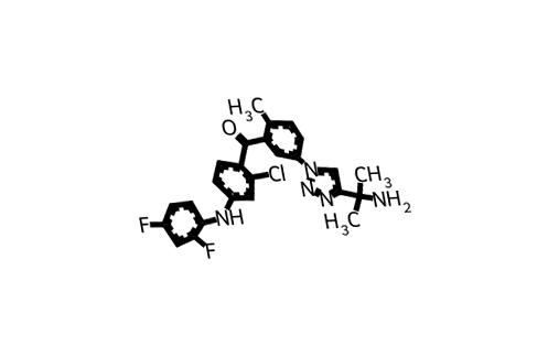 Cc1ccc(-n2cc(C(C)(C)N)nn2)cc1C(=O)c1ccc(Nc2ccc(F)cc2F)cc1Cl